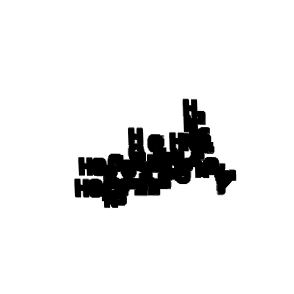 Nc1nc(/C(=N\OC2CC2)C(=O)N[C@@H]2C(=O)N3C(C(=O)O)=C(CSc4snc(O)c4C(=O)O)CS[C@H]23)cs1